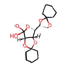 [O]C1(O)O[C@H]([C@H]2COC3(CCCCC3)O2)[C@@H]2OC3(CCCCC3)O[C@@H]21